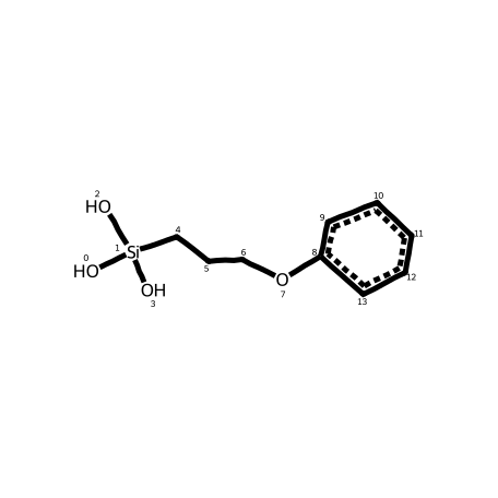 O[Si](O)(O)CCCOc1ccccc1